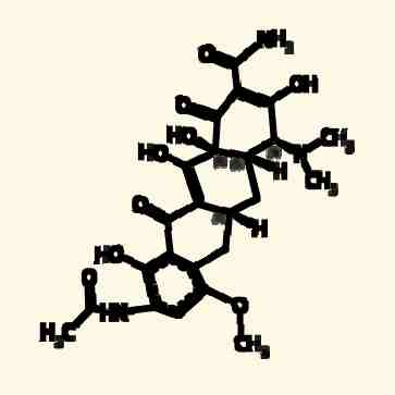 COc1cc(NC(C)=O)c(O)c2c1C[C@H]1C[C@H]3[C@H](N(C)C)C(O)=C(C(N)=O)C(=O)[C@@]3(O)C(O)=C1C2=O